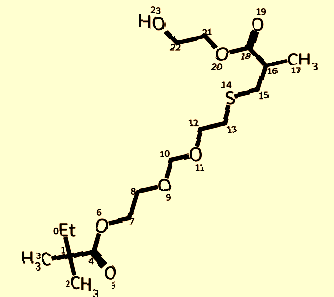 CCC(C)(C)C(=O)OCCOCOCCSCC(C)C(=O)OCCO